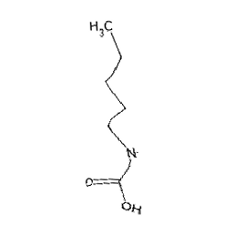 CCCCC[N]C(=O)O